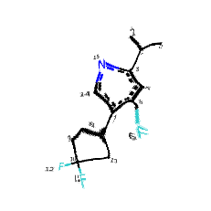 CC(C)c1cc(F)c(C2CC(F)(F)C2)cn1